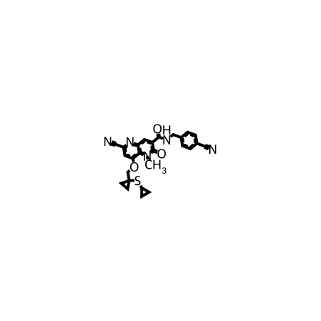 Cn1c(=O)c(C(=O)NCc2ccc(C#N)cc2)cc2nc(C#N)cc(OCC3(SC4CC4)CC3)c21